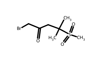 CC(C)(CC(=O)CBr)S(C)(=O)=O